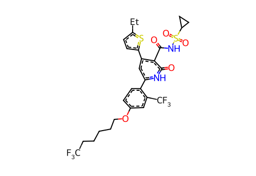 CCc1ccc(-c2cc(-c3ccc(OCCCCCC(F)(F)F)cc3C(F)(F)F)[nH]c(=O)c2C(=O)NS(=O)(=O)C2CC2)s1